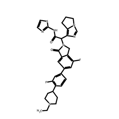 CCN1CCC(c2ccc(-c3cc(F)c4c(c3)C(=O)N(C(C(=O)Nc3nccs3)c3ncn5c3CCC5)C4)cc2F)CC1